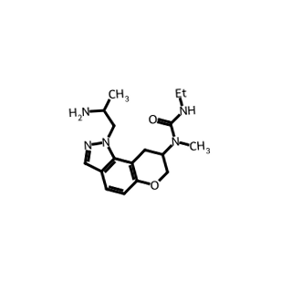 CCNC(=O)N(C)C1COc2ccc3cnn(CC(C)N)c3c2C1